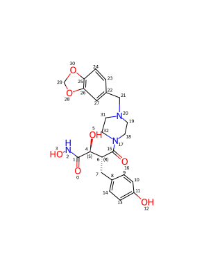 O=C(NO)[C@@H](O)[C@@H](Cc1ccc(O)cc1)C(=O)N1CCN(Cc2ccc3c(c2)OCO3)CC1